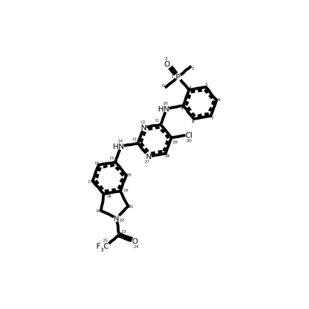 CP(C)(=O)c1ccccc1Nc1nc(Nc2ccc3c(c2)CN(C(=O)C(F)(F)F)C3)ncc1Cl